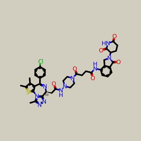 Cc1sc2c(c1C)C(c1ccc(Cl)cc1)=N[C@@H](CC(=O)NN1CCN(C(=O)CCC(=O)Nc3cccc4c3CN(C3CCC(=O)NC3=O)C4=O)CC1)c1nnc(C)n1-2